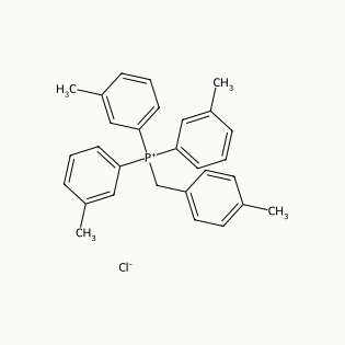 Cc1ccc(C[P+](c2cccc(C)c2)(c2cccc(C)c2)c2cccc(C)c2)cc1.[Cl-]